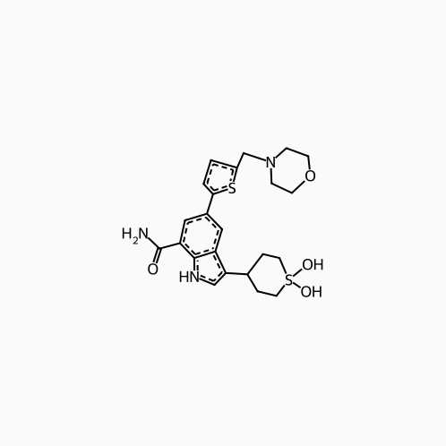 NC(=O)c1cc(-c2ccc(CN3CCOCC3)s2)cc2c(C3CCS(O)(O)CC3)c[nH]c12